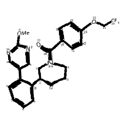 COc1ncc(-c2ccccc2C2CCCN(C(=O)c3ccc(OCC(F)(F)F)cc3)C2)cn1